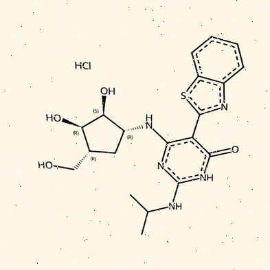 CC(C)Nc1nc(N[C@@H]2C[C@H](CO)[C@@H](O)[C@H]2O)c(-c2nc3ccccc3s2)c(=O)[nH]1.Cl